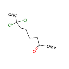 COC(=O)CCCCC(Cl)(Cl)C=O